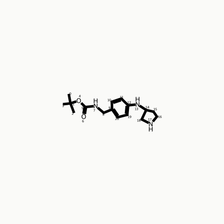 CC(C)(C)OC(=O)NCc1ccc(NC2CCNC2)cc1